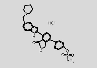 Cl.NS(=O)(=O)Oc1ccc(-c2ccc(-c3cc4cc(CN5CCCCC5)ccc4[nH]3)c3c2CNC3=O)cc1